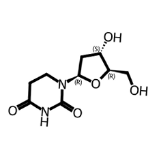 O=C1CCN([C@H]2C[C@H](O)[C@@H](CO)O2)C(=O)N1